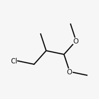 COC(OC)C(C)CCl